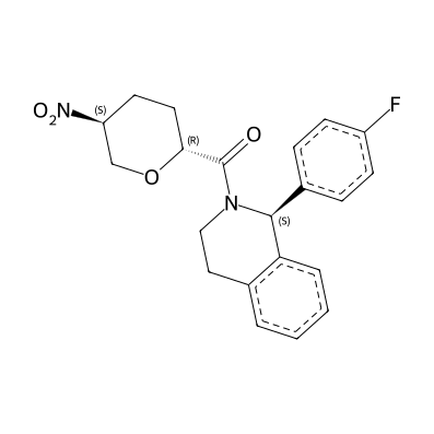 O=C([C@H]1CC[C@H]([N+](=O)[O-])CO1)N1CCc2ccccc2[C@@H]1c1ccc(F)cc1